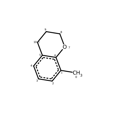 Cc1cccc2c1OCC[C]2